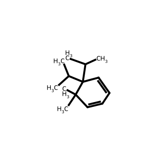 CC(C)C1(C(C)C)C=CC=CC1(C)C